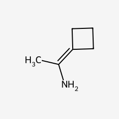 CC(N)=C1CCC1